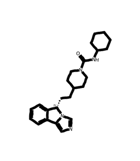 O=C(NC1CCCCC1)N1CCC(CC[C@H]2c3ccccc3-c3cncn32)CC1